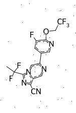 CC(F)(F)c1nc(C#N)c2cnc(-c3cnc(OCC(F)(F)F)c(F)c3)cn12